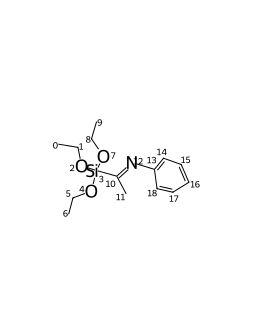 CCO[Si](OCC)(OCC)C(C)=Nc1ccccc1